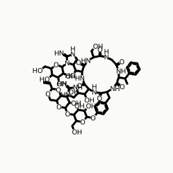 C=CC1OCC2OC(OC3C(CO)OC(Oc4ccc(CC5NC(=O)C(C(C)c6ccccc6)NC(=O)CNC(=O)C(CO)NC(=O)C(C(O)C6CNC(=N)N6C6OC(CO)C(O)C(O)C6O)NC(=O)C(C(O)C6CNC(=N)N6)NC5=O)cc4)C(O)C3O)C(O)C(O)C2O1